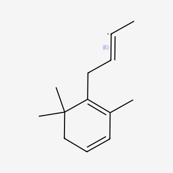 C/[C]=C/CC1=C(C)C=CCC1(C)C